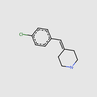 Clc1ccc(C=C2CC[N]CC2)cc1